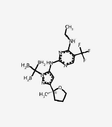 BC(B)(B)n1nc([C@]2(C)CCCO2)cc1Nc1ncc(C(F)(F)F)c(NCC)n1